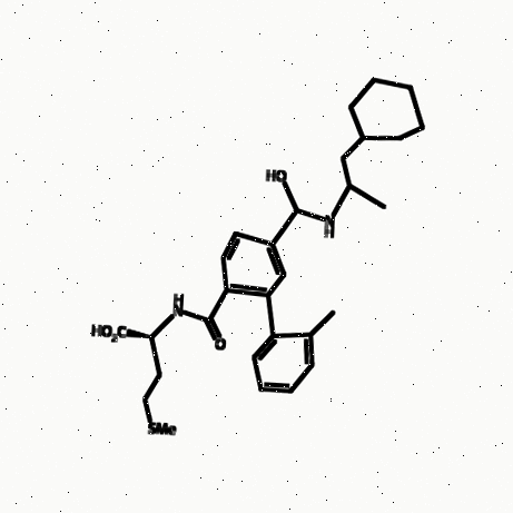 CSCC[C@H](NC(=O)c1ccc(C(O)NC(C)CC2CCCCC2)cc1-c1ccccc1C)C(=O)O